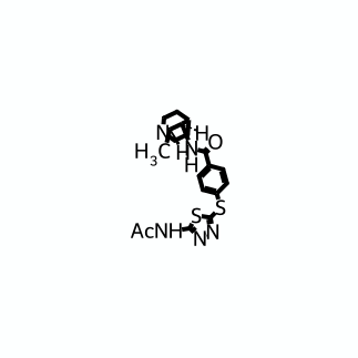 CC(=O)Nc1nnc(Sc2ccc(C(=O)N[C@@H]3C4CCN(CC4)[C@H]3C)cc2)s1